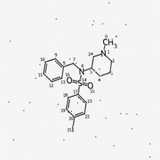 CN1CCCC(N(Cc2ccccc2)S(=O)(=O)c2ccc(I)cc2)C1